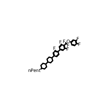 CCCCCC1CCC(C2CCC(c3ccc(-c4cc(F)c(C(F)(F)Oc5ccc(F)c(F)c5)c(F)c4)c(F)c3)CC2)CC1